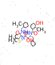 Cc1ccccc1CNC(=O)C1N(C(=O)C(O)C(Cc2ccccc2)NC(=O)c2cccc(O)c2C)CSC1(C)C